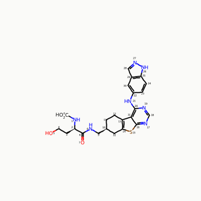 O=C(O)N[C@H](CCO)C(=O)NC[C@H]1CCc2c(sc3ncnc(Nc4ccc5[nH]ncc5c4)c23)C1